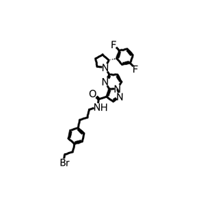 O=C(NCCCc1ccc(CCBr)cc1)c1cnn2ccc(N3CCC[C@@H]3c3cc(F)ccc3F)nc12